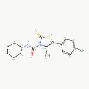 C[C@H]1[C@H](c2ccc(Cl)cc2)SC(=S)N1C(=O)NC1CCCCC1